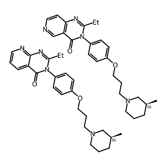 CCc1nc2ccncc2c(=O)n1-c1ccc(OCCCN2CCC[C@H](C)C2)cc1.CCc1nc2ncccc2c(=O)n1-c1ccc(OCCCN2CCC[C@H](C)C2)cc1